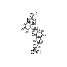 COc1cnc2c(-c3nc4ccc5c(c4s3)C[C@H](COC(=O)Cl)O5)cc(C)cc2n1